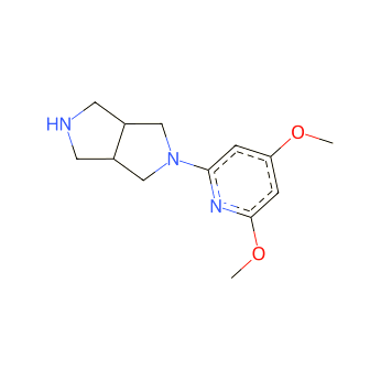 COc1cc(OC)nc(N2CC3CNCC3C2)c1